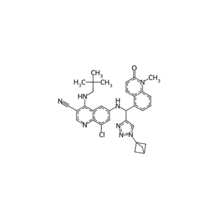 Cn1c(=O)ccc2c(C(Nc3cc(Cl)c4ncc(C#N)c(NCC(C)(C)C)c4c3)c3cn(C45CC(C4)C5)nn3)cccc21